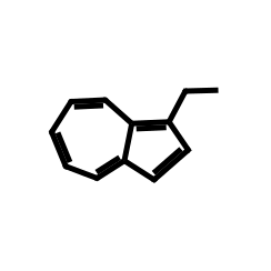 CCc1ccc2cccccc1-2